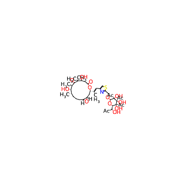 CC(=O)C(O)[C@H]1O[C@@H](OCc2nc(C=C(C)[C@@H]3C[C@@H]4O[C@@H]4CCC[C@H](C)[C@H](O)[C@@H](C)C(=O)C(C)(C)[C@@H](O)CC(=O)O3)cs2)[C@@](O)(C(C)=O)[C@](O)(C(C)=O)[C@@]1(O)C(C)=O